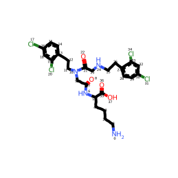 NCCCCC(NC(=O)CN(CCc1ccc(Cl)cc1Cl)C(=O)CNCCc1ccc(Cl)cc1Cl)C(=O)O